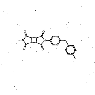 Cc1ccc(Cc2ccc(N3C(=O)C4C5C(=O)N(C)C(=O)C5C4C3=O)cc2)cc1